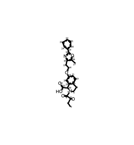 CCC(=O)C(=O)N1CCc2ccc(OCCc3nc(-c4ccccc4)oc3C)cc2C1C(=O)O